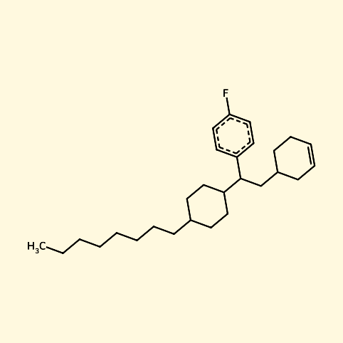 CCCCCCCCC1CCC(C(CC2CC=CCC2)c2ccc(F)cc2)CC1